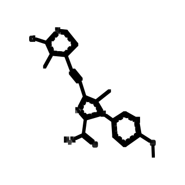 COc1ccc(-n2c(C(N)=O)nc(C#Cc3ccnc(Cl)c3C)c2C)cn1